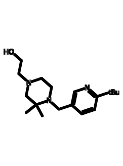 CC(C)(C)c1ccc(CN2CCN(CCO)CC2(C)C)cn1